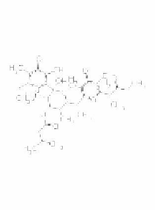 CCC(=O)[C@H](C)c1oc([C@H](C)[C@@H]2O[C@](O)(c3oc(CC)c(C)c(=O)c3C)[C@@H](C)[C@@H](OC(=O)CC(C)C)[C@@H]2C)c(C)c(=O)c1C